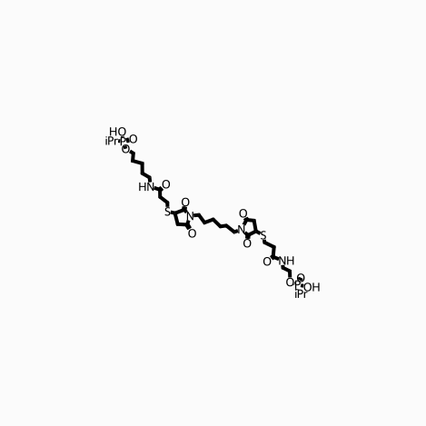 CC(C)P(=O)(O)OCCCCCNC(=O)CCSC1CC(=O)N(CCCCCCN2C(=O)CC(SCCC(=O)NCCOP(=O)(O)C(C)C)C2=O)C1=O